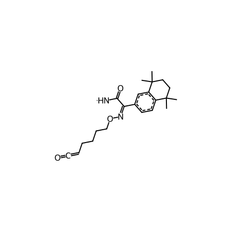 CC1(C)CCC(C)(C)c2cc(C(=NOCCCCC=C=O)C([NH])=O)ccc21